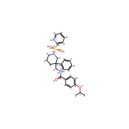 CC(C)Oc1ccc(C(=O)NCC2(c3ccccc3)CCCN(S(=O)(=O)c3ccccn3)C2)cc1